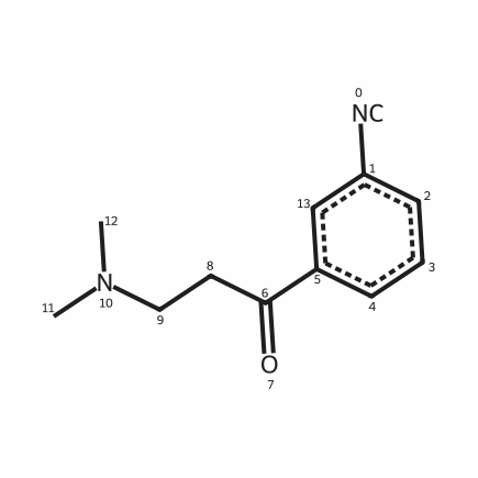 [C-]#[N+]c1cccc(C(=O)CCN(C)C)c1